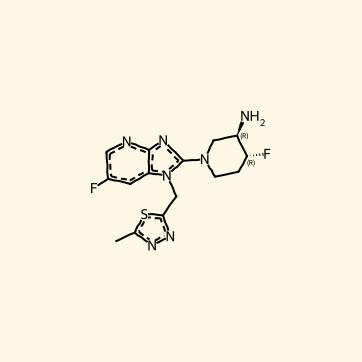 Cc1nnc(Cn2c(N3CC[C@@H](F)[C@H](N)C3)nc3ncc(F)cc32)s1